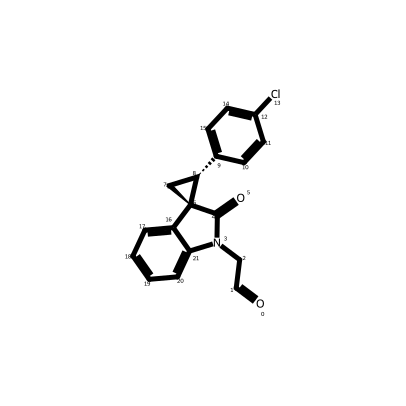 O=CCN1C(=O)[C@]2(C[C@@H]2c2ccc(Cl)cc2)c2ccccc21